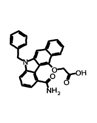 NC(=O)c1cccc2c1c1c(OCC(=O)O)c3ccccc3cc1n2Cc1ccccc1